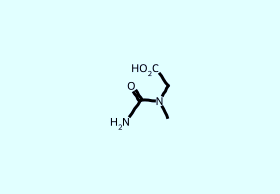 CN(CC(=O)O)C(N)=O